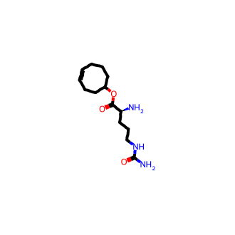 NC(=O)NCCC[C@H](N)C(=O)OC1CC/C=C\CCC1